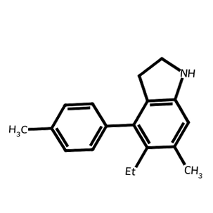 CCc1c(C)cc2c(c1-c1ccc(C)cc1)CCN2